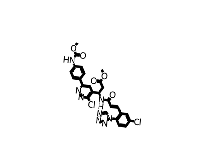 COC(=O)CC(NC(=O)C=Cc1cc(Cl)ccc1-n1cnnn1)c1cc(-c2ccc(NC(=O)OC)cc2)nnc1Cl